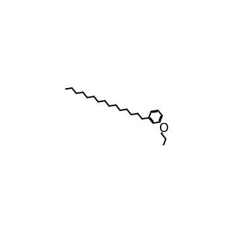 CCCCCCCCCCCCCCCc1cccc(OCCC)c1